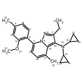 CCc1nn2c(-c3ccc(C)cc3OC)ccc(C)c2c1N(C1CC1)C1CC1